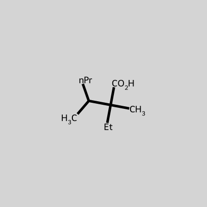 CCCC(C)C(C)(CC)C(=O)O